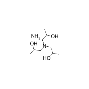 CC(O)CN(CC(C)O)CC(C)O.N